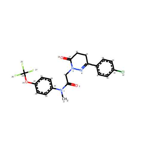 CN(C(=O)CN1N=C(c2ccc(Cl)cc2)CCC1=O)c1ccc(OC(F)(F)F)cc1